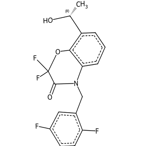 C[C@@H](O)c1cccc2c1OC(F)(F)C(=O)N2Cc1cc(F)ccc1F